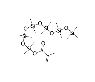 C=C(C)C(=O)O[Si](C)(C)O[Si](C)(C)O[Si](C)(C)O[Si](C)(C)O[Si](C)(C)O[Si](C)(C)C